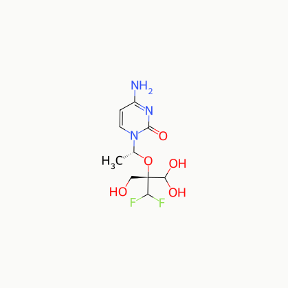 C[C@@H](O[C@](CO)(C(O)O)C(F)F)n1ccc(N)nc1=O